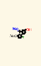 COc1ccc(F)c(-c2ccc(CO)cc2C(C)(C)CN=[N+]=[N-])c1